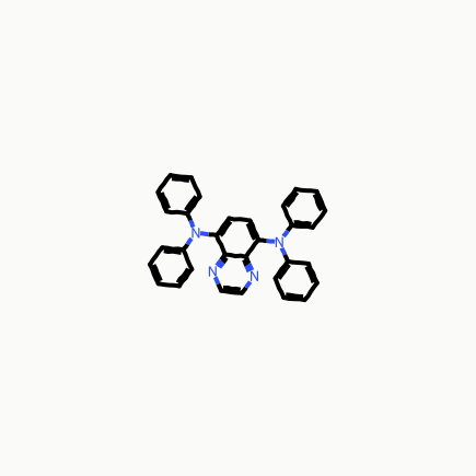 c1ccc(N(c2ccccc2)c2ccc(N(c3ccccc3)c3ccccc3)c3nccnc23)cc1